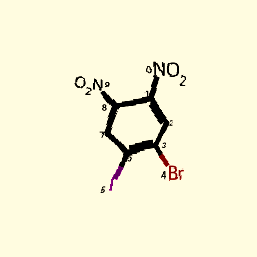 O=[N+]([O-])C1=CC(Br)=C(I)CC1[N+](=O)[O-]